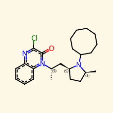 C[C@H]1CC[C@@H](C[C@H](C)n2c(=O)c(Cl)nc3ccccc32)N1C1CCCCCCC1